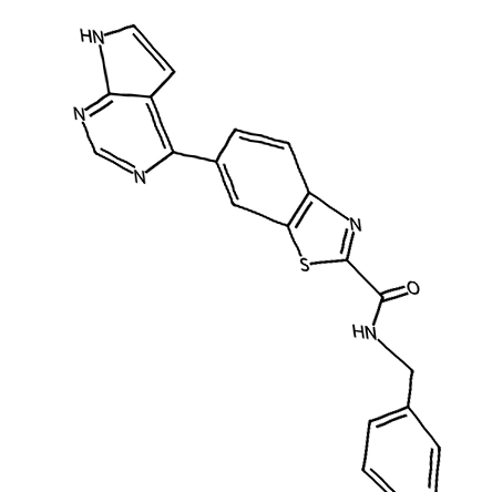 COc1cccc(CNC(=O)c2nc3ccc(-c4ncnc5[nH]ccc45)cc3s2)c1